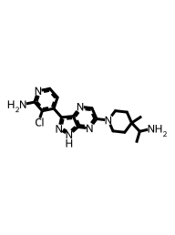 CC(N)C1(C)CCN(c2cnc3c(-c4ccnc(N)c4Cl)n[nH]c3n2)CC1